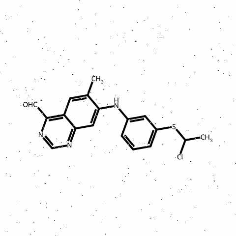 Cc1cc2c(C=O)ncnc2cc1Nc1cccc(SC(C)Cl)c1